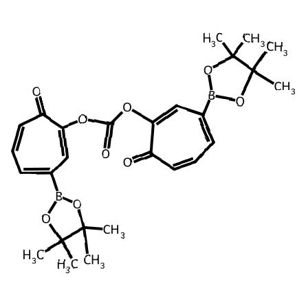 CC1(C)OB(c2cccc(=O)c(OC(=O)Oc3cc(B4OC(C)(C)C(C)(C)O4)cccc3=O)c2)OC1(C)C